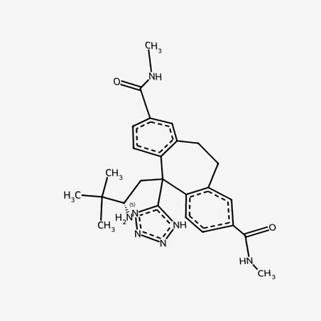 CNC(=O)c1ccc2c(c1)CCc1cc(C(=O)NC)ccc1C2(C[C@H](N)C(C)(C)C)c1nnn[nH]1